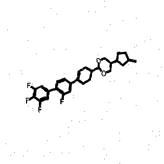 CC1CCC(C2COC(C3CC=C(c4ccc(-c5cc(F)c(F)c(F)c5)c(F)c4)CC3)OC2)C1